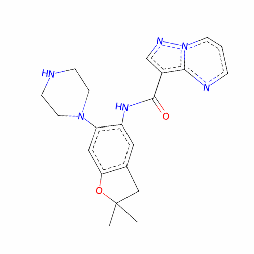 CC1(C)Cc2cc(NC(=O)c3cnn4cccnc34)c(N3CCNCC3)cc2O1